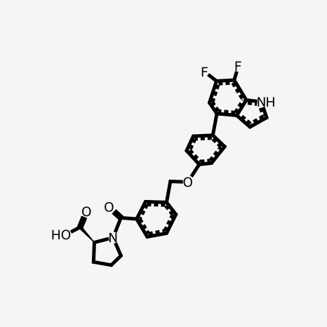 O=C(O)[C@@H]1CCCN1C(=O)c1cccc(COc2ccc(-c3cc(F)c(F)c4[nH]ccc34)cc2)c1